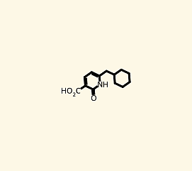 O=C(O)c1ccc(CC2CCCCC2)[nH]c1=O